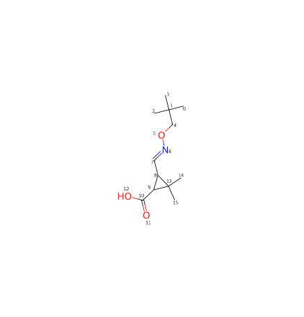 CC(C)(C)CON=CC1C(C(=O)O)C1(C)C